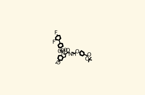 COc1ccc2c(c1)CC(C(=O)NCCOc1ccc(C(=O)OC(C)(C)C)cc1)N2S(=O)(=O)c1ccc(-c2ccc(F)cc2F)cc1